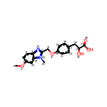 COc1ccc2nc(COc3ccc(CC(O)C(=O)O)cc3)n(C)c2c1